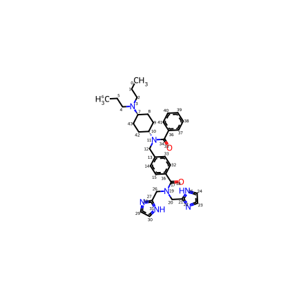 CCCN(CCC)[C@H]1CC[C@H](N(Cc2ccc(C(=O)N(Cc3ncc[nH]3)Cc3ncc[nH]3)cc2)C(=O)c2ccccc2)CC1